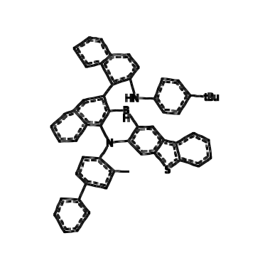 Cc1cc(-c2ccccc2)ccc1N1c2cc3sc4ccccc4c3cc2Bc2c(-c3c(Nc4ccc(C(C)(C)C)cc4)ccc4ccccc34)cc3ccccc3c21